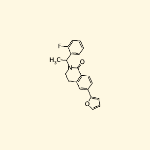 CC(c1ccccc1F)N1CCc2cc(-c3ccco3)ccc2C1=O